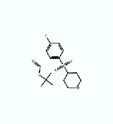 CC(C)(C)OC=O.O=S(=O)(c1ccc(F)cc1)C1CCNCC1